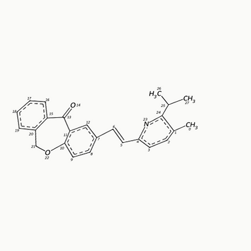 Cc1ccc(C=Cc2ccc3c(c2)C(=O)c2ccccc2CO3)nc1C(C)C